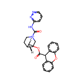 O=C(O[C@H]1C[N+]2(C(=O)Nc3cccnn3)CCC1CC2)C1c2ccccc2Oc2ccccc21